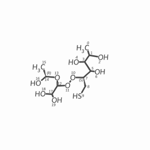 CC(O)C(O)C(O)[C@@H](CS)OOC(O[C@H](C)O)C(O)O